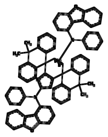 CC1(C)c2ccccc2C2(c3ccccc31)c1cc(N(c3ccccc3)c3cccc4oc5ccccc5c34)sc1C1(c3ccccc3C(C)(C)c3ccccc31)c1cc(N(c3ccccc3)c3cccc4oc5ccccc5c34)sc12